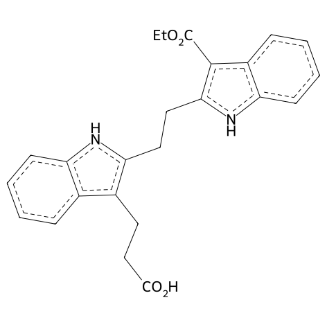 CCOC(=O)c1c(CCc2[nH]c3ccccc3c2CCC(=O)O)[nH]c2ccccc12